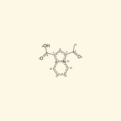 CC(=O)c1cc(C(=O)O)c2ccccn12